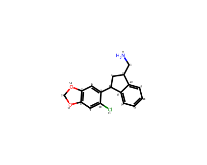 NCC1CC(c2cc3c(cc2Cl)OCO3)c2ccccc21